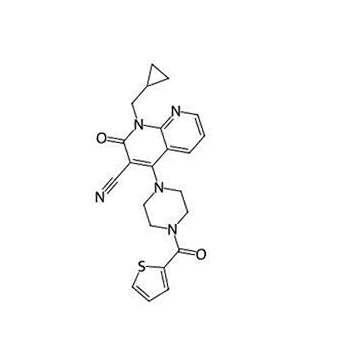 N#Cc1c(N2CCN(C(=O)c3cccs3)CC2)c2cccnc2n(CC2CC2)c1=O